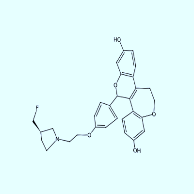 Oc1ccc2c(c1)OC(c1ccc(OCCN3CC[C@@H](CF)C3)cc1)C1=C2CCOc2cc(O)ccc21